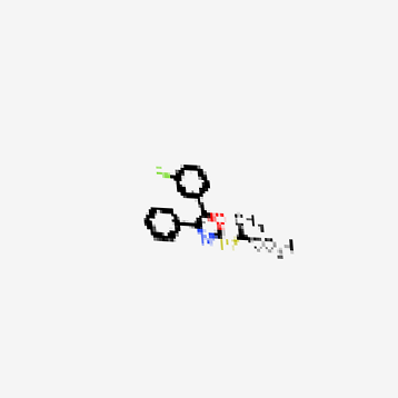 CC(S)C(=O)O.Fc1cccc(-c2ocnc2-c2ccccc2)c1